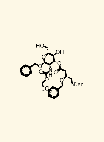 CCCCCCCCCCC[C@H](CC(=O)O[C@H]1[C@H](O)[C@@H](CO)O[C@H](OCc2ccccc2)[C@@H]1NC(=O)OCC(Cl)(Cl)Cl)OCc1ccccc1